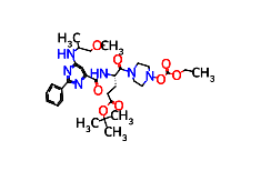 CCOC(=O)ON1CCN(C(=O)[C@H](CCC(=O)OC(C)(C)C)NC(=O)c2cc(NC(C)COC)nc(-c3ccccc3)n2)CC1